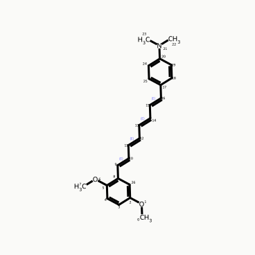 COc1ccc(OC)c(/C=C/C=C/C=C/C=C/c2ccc(N(C)C)cc2)c1